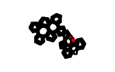 c1ccc2c(c1)Oc1ccccc1C21c2ccccc2N(c2ccc3c(c2)c2cccc4c2-c2c(cccc2c2ccccc23)c2ccccc2c2ccccc42)c2ccccc21